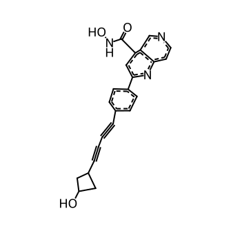 O=C(NO)c1cc(-c2ccc(C#CC#CC3CC(O)C3)cc2)nc2ccncc12